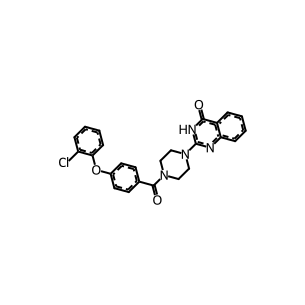 O=C(c1ccc(Oc2ccccc2Cl)cc1)N1CCN(c2nc3ccccc3c(=O)[nH]2)CC1